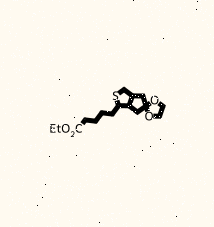 CCOC(=O)CCCCC1SCC2CC3(CC21)OCCO3